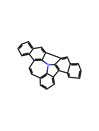 C1=Cc2cccc3c4c5ccccc5cc5c6cc7ccccc7c1c6n(c23)c54